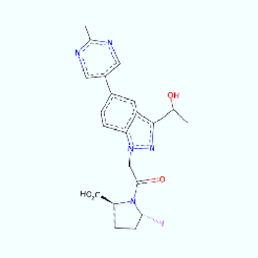 Cc1ncc(-c2ccc3c(c2)c(C(C)O)nn3CC(=O)N2[C@H](I)CC[C@H]2C(=O)O)cn1